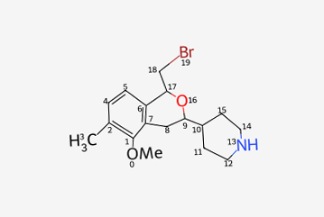 COc1c(C)ccc2c1CC(C1CCNCC1)OC2CBr